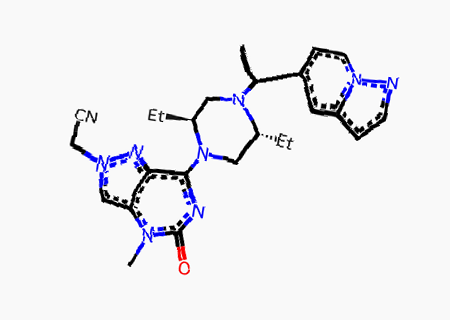 CC[C@H]1CN(C(C)c2ccn3nccc3c2)[C@H](CC)CN1c1nc(=O)n(C)c2cn(CC#N)nc12